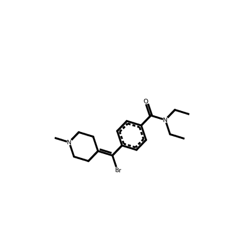 CCN(CC)C(=O)c1ccc(C(Br)=C2CCN(C)CC2)cc1